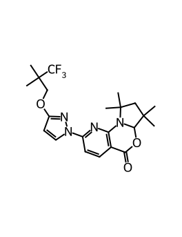 CC1(C)CC(C)(C)N2c3nc(-n4ccc(OCC(C)(C)C(F)(F)F)n4)ccc3C(=O)OC21